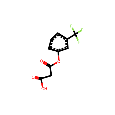 O=C(O)CC(=O)Oc1cccc(C(F)(F)F)c1